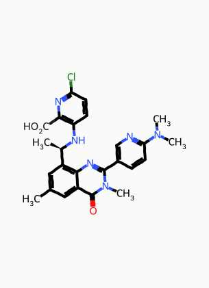 Cc1cc([C@@H](C)Nc2ccc(Cl)nc2C(=O)O)c2nc(-c3ccc(N(C)C)nc3)n(C)c(=O)c2c1